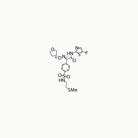 CSCCNS(=O)(=O)c1ccc(/C(=N\O[C@@H]2CCOC2)C(=O)Nc2ncc(F)s2)cc1